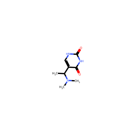 CC(c1c[nH]c(=O)[nH]c1=O)N(C)C